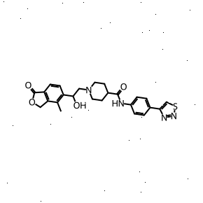 Cc1c(C(O)CN2CCC(C(=O)Nc3ccc(-c4csnn4)cc3)CC2)ccc2c1COC2=O